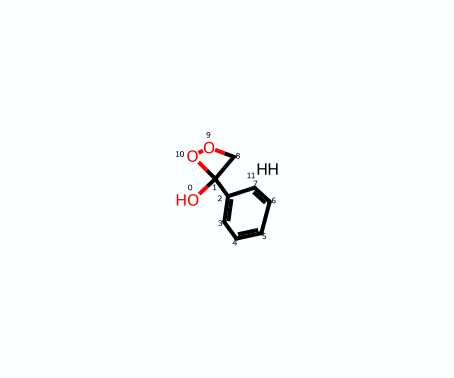 OC1(c2ccccc2)COO1.[HH]